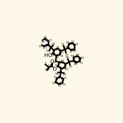 C=C(C)C(=O)Oc1c(Cc2cc(C(C)(C)c3ccccc3)cc(C(C)(C)C(/C=C\C)=C/C)c2O)cc(C(C)(C)c2ccccc2)cc1C(C)(C)c1ccccc1